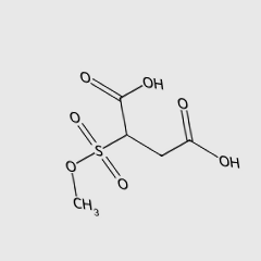 COS(=O)(=O)C(CC(=O)O)C(=O)O